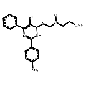 COCC[S+]([O-])CSC1NC(c2ccc(N)cc2)=NC(c2ccccc2)=C1C#N